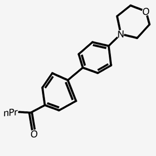 CCCC(=O)c1ccc(-c2ccc(N3CCOCC3)cc2)cc1